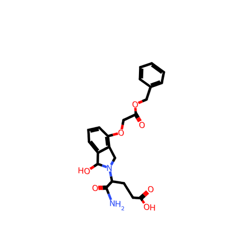 NC(=O)C(CCC(=O)O)N1Cc2c(OCC(=O)OCc3ccccc3)cccc2C1O